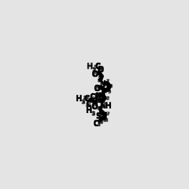 [CH2]OC(=O)CCn1cccc(-c2cc(NCc3ccc(Cl)s3)n(C(=O)C(C)(C)C)n2)c1=O